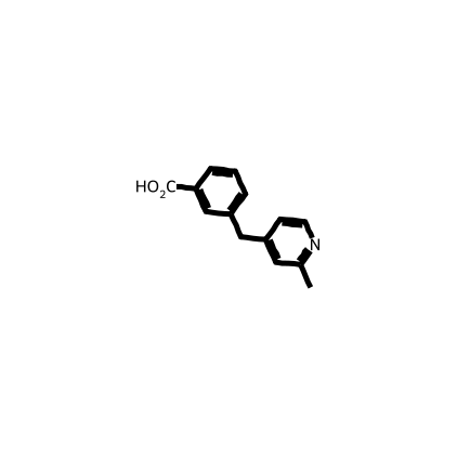 Cc1cc(Cc2cccc(C(=O)O)c2)ccn1